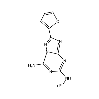 CCCNc1nc(N)n2nc(-c3ccco3)nc2n1